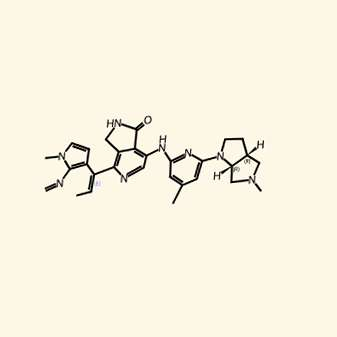 C=Nc1c(/C(=C\C)c2ncc(Nc3cc(C)cc(N4CC[C@@H]5CN(C)C[C@@H]54)n3)c3c2CNC3=O)ccn1C